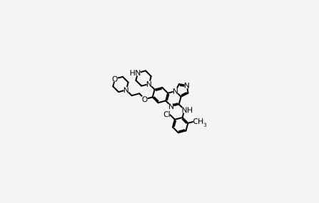 Cc1cccc(Cl)c1Nc1nc2cc(OCCN3CCOCC3)c(N3CCNCC3)cc2n2cncc12